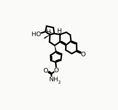 C[C@]12C[C@H](c3ccc(OC(N)=O)cc3)C3=C4CCC(=O)C=C4CC[C@H]3[C@@H]1CCC2O